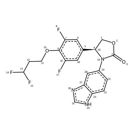 O=C1OC[C@H](c2cc(F)c(OCCC(F)F)c(F)c2)N1c1ccc2[nH]cnc2c1